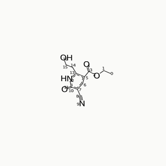 CCOC(=O)c1cc(C#N)c(=O)[nH]c1CCO